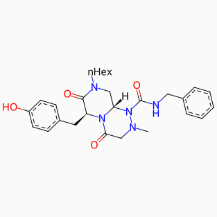 CCCCCCN1C[C@H]2N(C(=O)CN(C)N2C(=O)NCc2ccccc2)[C@@H](Cc2ccc(O)cc2)C1=O